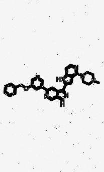 CN1CCN(c2nccc3[nH]c(-c4n[nH]c5cnc(-c6cncc(OCc7ccccc7)c6)cc45)cc23)CC1